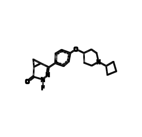 O=C1C2CC2C(c2ccc(OC3CCN(C4CCC4)CC3)cc2)=NN1F